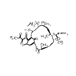 CO[C@H]1C[C@H](C)CC2=C(NC(=O)C(C)=O)C(=O)C=C(NC(=O)/C(C)=C/C=C\[C@@H](OC)[C@@H](OC(N)=O)/C(C)=C/[C@H](C)[C@H]1O)C2=O